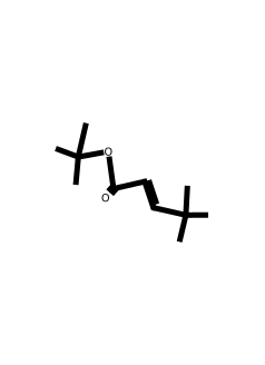 CC(C)(C)C=CC(=O)OC(C)(C)C